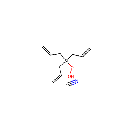 C=CC[Si](CC=C)(CC=C)OO.[C]#N